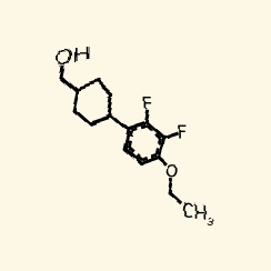 CCOc1ccc(C2CCC(CO)CC2)c(F)c1F